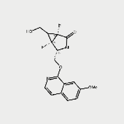 COc1ccc2ccnc(OC[C@H]3NC(=O)[C@@H]4C(CO)[C@@H]43)c2c1